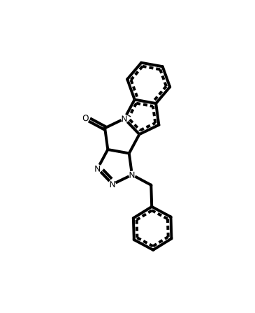 O=C1C2N=NN(Cc3ccccc3)C2c2cc3ccccc3n21